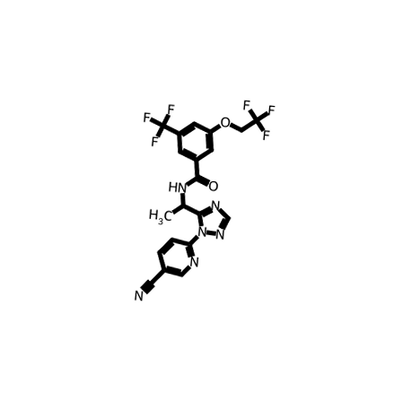 CC(NC(=O)c1cc(OCC(F)(F)F)cc(C(F)(F)F)c1)c1ncnn1-c1ccc(C#N)cn1